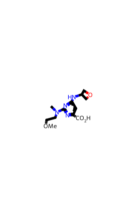 COCCN(C)c1nc(NC2COC2)cc(C(=O)O)n1